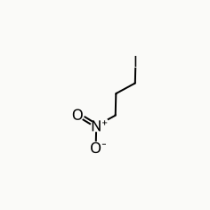 O=[N+]([O-])CCCI